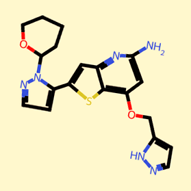 Nc1cc(OCc2ccn[nH]2)c2sc(-c3ccnn3C3CCCCO3)cc2n1